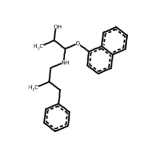 CC(CNC(Oc1cccc2ccccc12)C(C)O)Cc1ccccc1